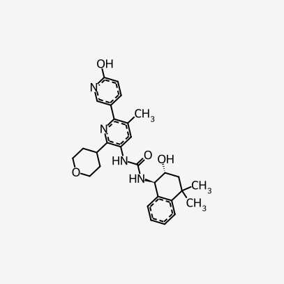 Cc1cc(NC(=O)N[C@@H]2c3ccccc3C(C)(C)C[C@H]2O)c(C2CCOCC2)nc1-c1ccc(O)nc1